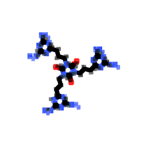 Nc1nc(N)nc(CCCn2c(=O)n(CCCc3nc(N)nc(N)n3)c(=O)n(CCCc3nc(N)nc(N)n3)c2=O)n1